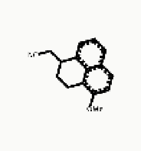 COc1ccc2cccc3c2c1CCC3CC#N